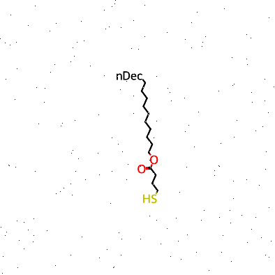 CCCCCCCCCCCCCCCCCCCCOC(=O)CCCS